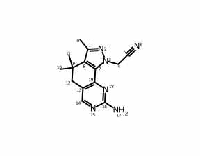 Cc1nn(CC#N)c2c1C(C)(C)Cc1cnc(N)nc1-2